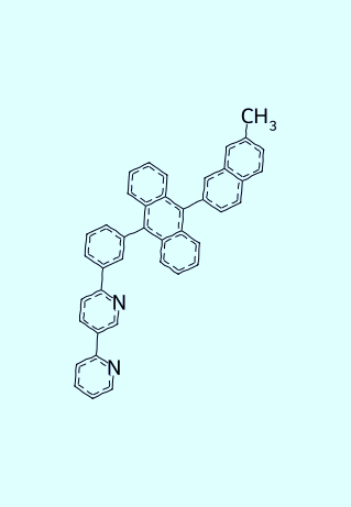 Cc1ccc2ccc(-c3c4ccccc4c(-c4cccc(-c5ccc(-c6ccccn6)cn5)c4)c4ccccc34)cc2c1